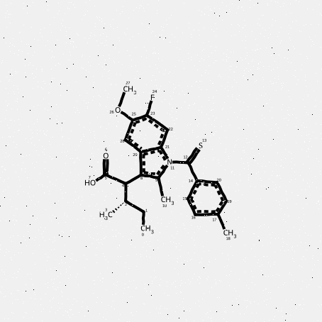 CC[C@H](C)C(C(=O)O)c1c(C)n(C(=S)c2ccc(C)cc2)c2cc(F)c(OC)cc12